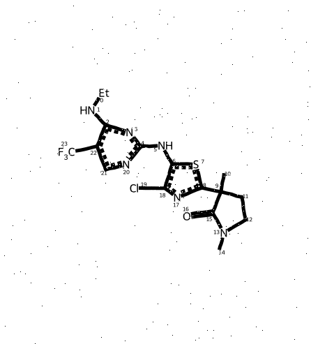 CCNc1nc(Nc2sc(C3(C)CCN(C)C3=O)nc2Cl)ncc1C(F)(F)F